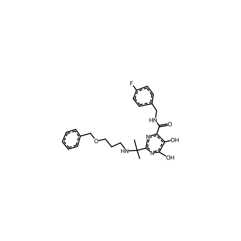 CC(C)(NCCCOCc1ccccc1)c1nc(O)c(O)c(C(=O)NCc2ccc(F)cc2)n1